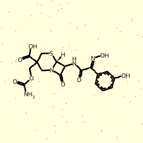 NC(=O)OCC1(C(=O)O)CS[C@@H]2C(NC(=O)C(=NO)c3cccc(O)c3)C(=O)N2C1